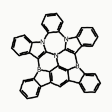 c1ccc2c(c1)B1c3c-2cc2c4c3-n3c5c1c1ccccc1n5c1ccccc1n1c5ccccc5c(c31)B4c1ccccc1-2